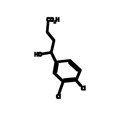 O=C(O)CCC(O)c1ccc(Cl)c(Cl)c1